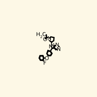 C=CC(=O)N1CCCC(n2nc(-c3ccc(Oc4ccccc4F)cc3)c3cncnc32)C1